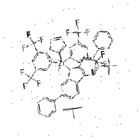 CC(C)(C)c1cc2c(cc1-c1ccccc1)[CH]([Zr]([CH3])([C]1=CC=CC1)([c]1cc(C(F)(F)F)cc(C(F)(F)F)c1)[c]1cc(C(F)(F)F)cc(C(F)(F)F)c1)c1cc(-c3ccccc3)c(C(C)(C)C)cc1-2